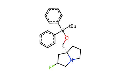 CC(C)(C)[Si](OC[C@]12CCCN1C[C@@H](F)C2)(c1ccccc1)c1ccccc1